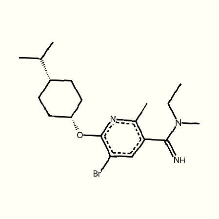 CCN(C)C(=N)c1cc(Br)c(O[C@H]2CC[C@@H](C(C)C)CC2)nc1C